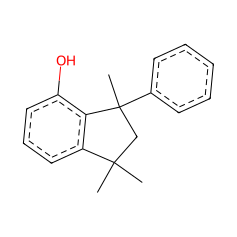 CC1(C)CC(C)(c2ccccc2)c2c(O)cccc21